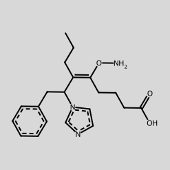 CCC/C(=C(/CCCC(=O)O)ON)C(Cc1ccccc1)n1ccnc1